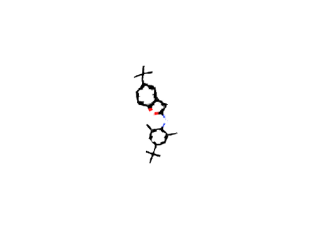 Cc1cc(C(C)(C)C)cc(C)c1Nc1cc2cc(C(C)(C)C)ccc2o1